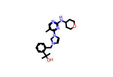 Cc1cnc(NC2CCOCC2)nc1N1C=CN(Cc2ccccc2C(C)(C)O)C1